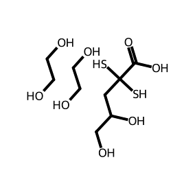 O=C(O)C(S)(S)CC(O)CO.OCCO.OCCO